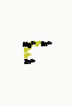 [Mg+2].[S-2].[S-2].[S-2].[S-2].[Sn+4].[Zn+2]